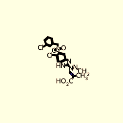 C=NN(/C=C(\C)C(=O)O)c1nc2cc(S(=O)(=O)Cc3cccc(Cl)c3)c(Cl)cc2[nH]1